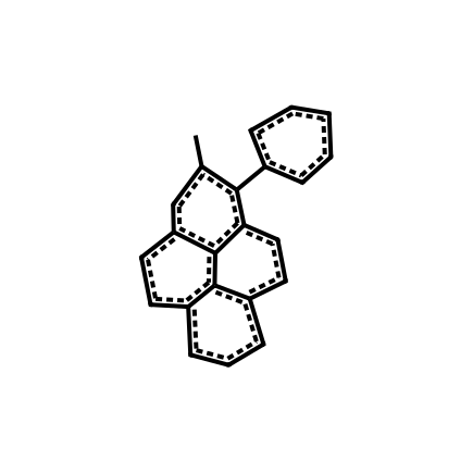 Cc1cc2ccc3cccc4ccc(c1-c1ccccc1)c2c34